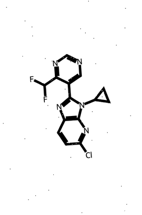 FC(F)c1ncncc1-c1nc2ccc(Cl)nc2n1C1CC1